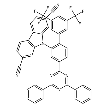 N#Cc1ccc2c3ccc(C#N)cc3n(-c3cc(-c4nc(-c5ccccc5)nc(-c5ccccc5)n4)ccc3-c3cc(C(F)(F)F)cc(C(F)(F)F)c3)c2c1